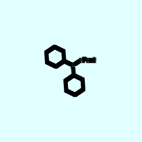 CCCCCP(C1CCCCC1)C1CCCCC1